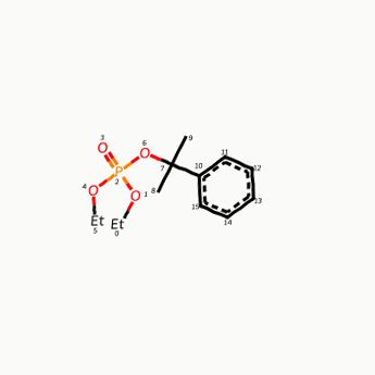 CCOP(=O)(OCC)OC(C)(C)c1ccccc1